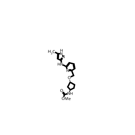 COC(=O)N[C@@H]1CC[C@@H](OCc2cccc(Nc3cc(C)[nH]n3)n2)C1